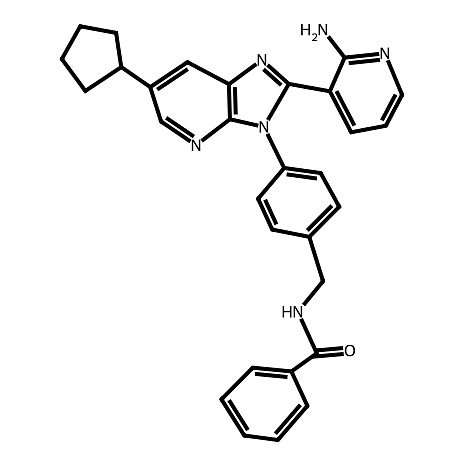 Nc1ncccc1-c1nc2cc(C3CCCC3)cnc2n1-c1ccc(CNC(=O)c2ccccc2)cc1